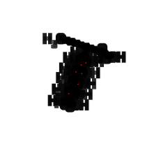 CCCCCCCCCCCCCCCCCC(=O)OCC(O)CO.O=C(O)CC(O)(CC(=O)O)C(=O)O.O=C(O)CC(O)(CC(=O)O)C(=O)O.O=C(O)CC(O)(CC(=O)O)C(=O)O.O=C(O)CC(O)(CC(=O)O)C(=O)O.O=C(O)CC(O)(CC(=O)O)C(=O)O